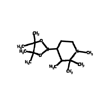 CC1C(B2OC(C)(C)C(C)(C)O2)CCN(C)C1(C)C